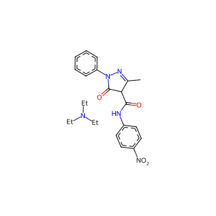 CC1=NN(c2ccccc2)C(=O)C1C(=O)Nc1ccc([N+](=O)[O-])cc1.CCN(CC)CC